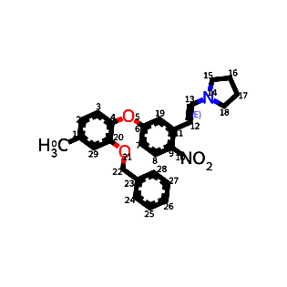 Cc1ccc(Oc2ccc([N+](=O)[O-])c(/C=C/N3CCCC3)c2)c(OCc2ccccc2)c1